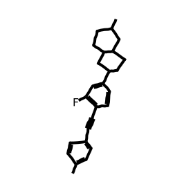 Cc1ccc(C#Cc2ccc(C3CCC4CC(C)CCC4C3)cc2F)cc1